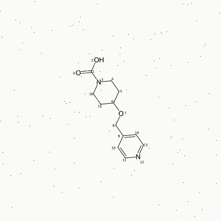 O=C(O)N1CCC(OCc2ccncc2)CC1